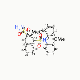 COc1ccccc1N(c1ccccc1OC)S(=O)(=O)c1cc(S(N)(=O)=O)cc2ccccc12